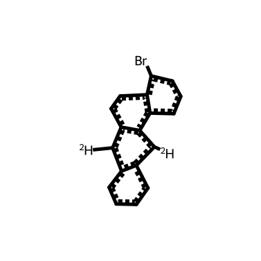 [2H]c1c2ccccc2c([2H])c2c1ccc1c(Br)cccc12